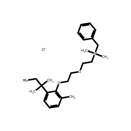 Cc1cccc(C(C)(C)CC(C)(C)C)c1OCCOCC[N+](C)(C)Cc1ccccc1.[Cl-]